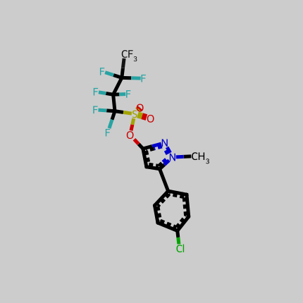 Cn1nc(OS(=O)(=O)C(F)(F)C(F)(F)C(F)(F)C(F)(F)F)cc1-c1ccc(Cl)cc1